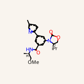 COC[C@@H](C)NC(=O)c1cc(-c2ccc(C)cn2)cc(N2C(=O)OC[C@H]2C(C)C)c1